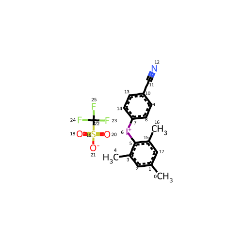 Cc1cc(C)c([I+]c2ccc(C#N)cc2)c(C)c1.O=S(=O)([O-])C(F)(F)F